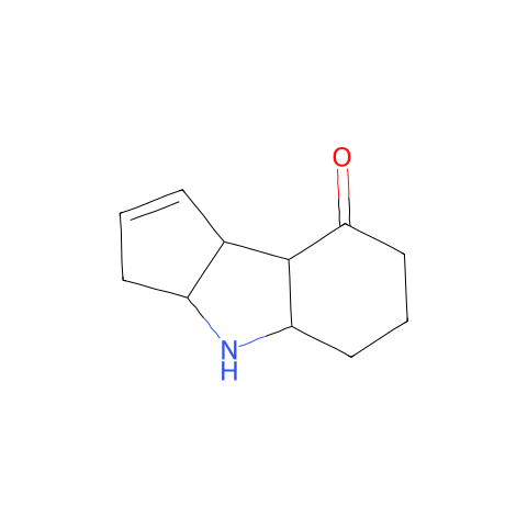 O=C1CCCC2NC3CC=CC3C12